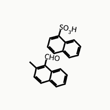 Cc1ccc2ccccc2c1C=O.O=S(=O)(O)c1cccc2ccccc12